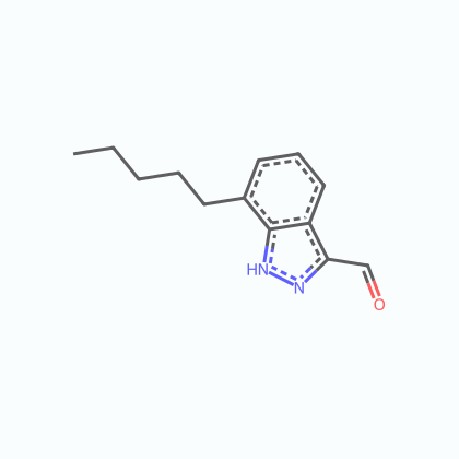 CCCCCc1cccc2c(C=O)n[nH]c12